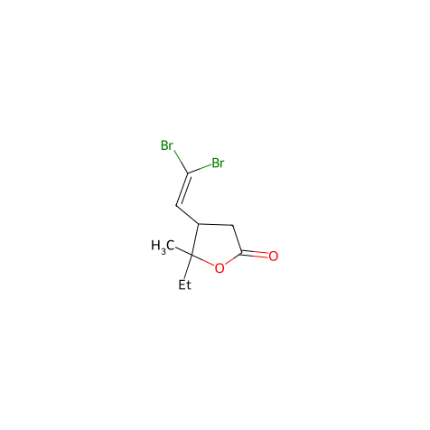 CCC1(C)OC(=O)CC1C=C(Br)Br